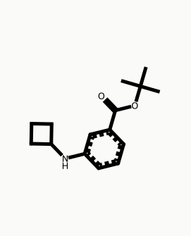 CC(C)(C)OC(=O)c1cccc(NC2CCC2)c1